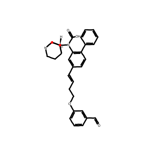 O=Cc1cccc(OCCC=Cc2ccc(-c3ccccc3)c(N(C(=O)O)[C@H]3CN4CCC3CC4)c2)c1